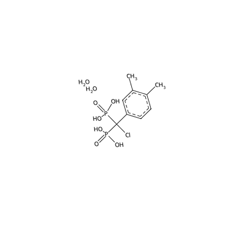 Cc1ccc(C(Cl)(P(=O)(O)O)P(=O)(O)O)cc1C.O.O